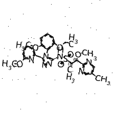 CCOc1cccc(OC)c1-n1c(NS(=O)(=O)[C@@H](C)[C@H](OC)c2ncc(C)cn2)nnc1-c1cccc(OC)n1